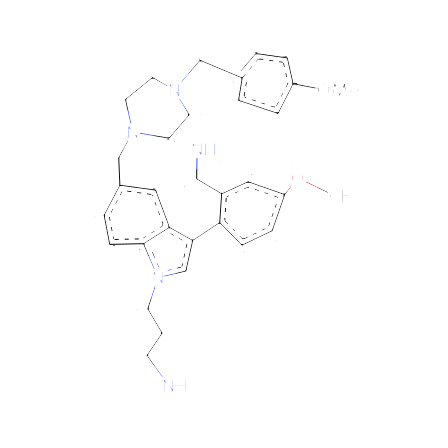 COc1ccc(CN2CCN(Cc3ccc4c(c3)c(-c3ccc(OC(F)(F)F)cc3CN)cn4CCCN)CC2)cc1